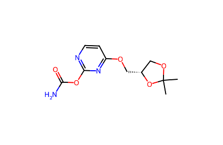 CC1(C)OC[C@@H](COc2ccnc(OC(N)=O)n2)O1